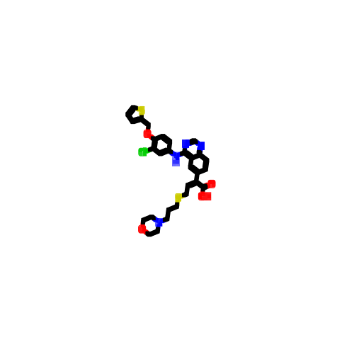 O=C(O)C(=CCSCCCN1CCOCC1)c1ccc2ncnc(Nc3ccc(OCc4cccs4)c(Cl)c3)c2c1